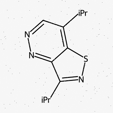 CC(C)c1nsc2c(C(C)C)cnnc12